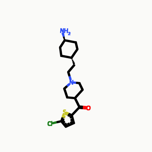 N[C@H]1CC[C@H](CCN2CCC(C(=O)c3ccc(Cl)s3)CC2)CC1